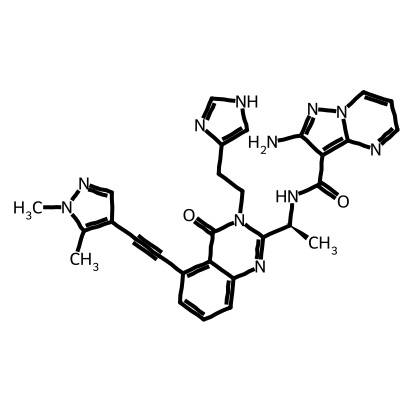 Cc1c(C#Cc2cccc3nc([C@H](C)NC(=O)c4c(N)nn5cccnc45)n(CCc4c[nH]cn4)c(=O)c23)cnn1C